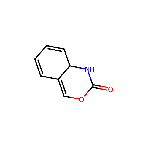 O=C1NC2C=CC=CC2=CO1